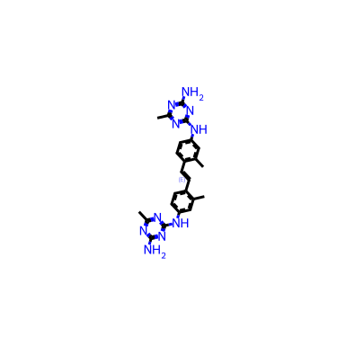 Cc1nc(N)nc(Nc2ccc(/C=C/c3ccc(Nc4nc(C)nc(N)n4)cc3C)c(C)c2)n1